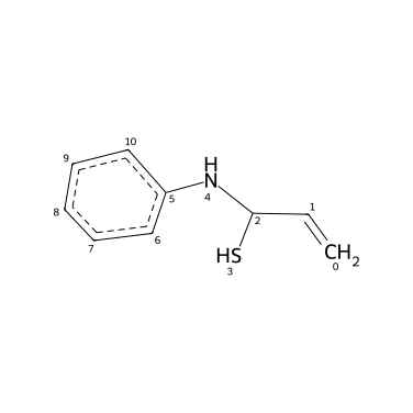 C=CC(S)Nc1ccccc1